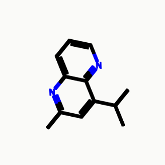 Cc1cc(C(C)C)c2ncccc2n1